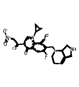 O=C(C[N+](=O)[O-])c1cn(C2CC2)c2c(F)c(CN3CCC=C4CNCC43)c(F)cc2c1=O